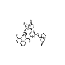 C#Cc1c(F)ccc2cccc(-c3c(F)c4c5c(nc(OC[C@@]67CCCN6C[C@H](F)C7)nc5c3F)N3CCN[C@@H](CC)[C@H]3CO4)c12